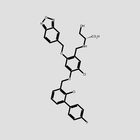 O=C(O)[C@@H](CO)NCc1cc(Cl)c(OCc2cccc(-c3ccc(F)cc3)c2Cl)cc1OCc1ccc2nonc2c1